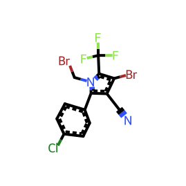 N#Cc1c(Br)c(C(F)(F)F)n(CBr)c1-c1ccc(Cl)cc1